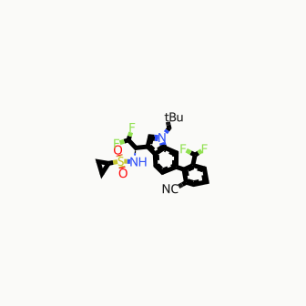 CC(C)(C)Cn1cc([C@H](NS(=O)(=O)C2CC2)C(F)F)c2ccc(-c3c(C#N)cccc3C(F)F)cc21